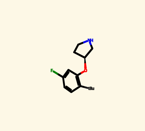 CC(C)(C)c1ccc(F)cc1O[C@H]1CCNC1